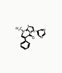 C[n+]1cc(-c2ccccc2)c(=O)n2c1SC[C@@H]2c1cncnc1